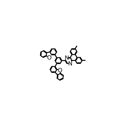 Cc1ccc2c(c1)c1cc(C)ccc1c1nc(-c3cc(-c4cccc5c4oc4ccccc45)cc(-c4cccc5c4oc4ccccc45)c3)cnc21